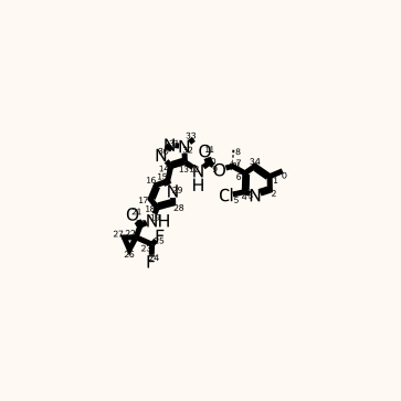 Cc1cnc(Cl)c([C@@H](C)OC(=O)Nc2c(-c3ccc(NC(=O)C4(C(F)F)CC4)cn3)nnn2C)c1